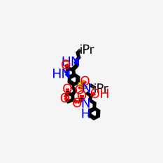 CC(C)CCNC=C1C(=O)Nc2ccc(S(=O)(=O)N(CC(C)C)CC(O)C(Cc3ccccc3)NC(=O)OC3COC4OCCC34)cc21